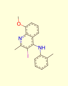 COc1cccc2c(Nc3ccccc3C)c(I)c(C)nc12